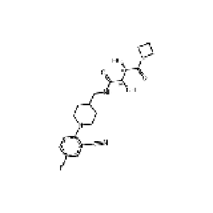 N#Cc1cc(F)ccc1N1CCC(CNC(=O)[C@H](O)[C@@H](O)C(=O)N2CCC2)CC1